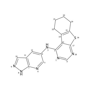 c1nc(Nc2cnc3[nH]ncc3c2)c2c3c(sc2n1)CCCC3